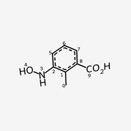 Cc1c(NO)cccc1C(=O)O